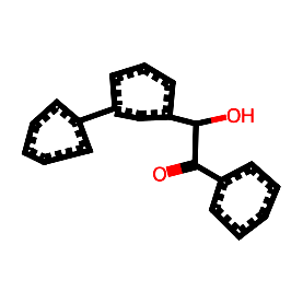 O=C(c1ccccc1)C(O)c1cccc(-c2ccccc2)c1